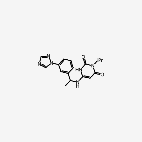 CC(Nc1cc(=O)n(C(C)C)c(=O)[nH]1)c1cccc(-n2cncn2)c1